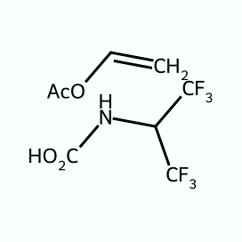 C=COC(C)=O.O=C(O)NC(C(F)(F)F)C(F)(F)F